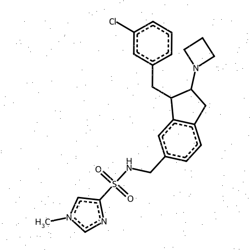 Cn1cnc(S(=O)(=O)NCc2ccc3c(c2)C(Cc2cccc(Cl)c2)C(N2CCC2)C3)c1